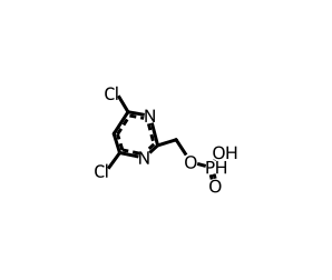 O=[PH](O)OCc1nc(Cl)cc(Cl)n1